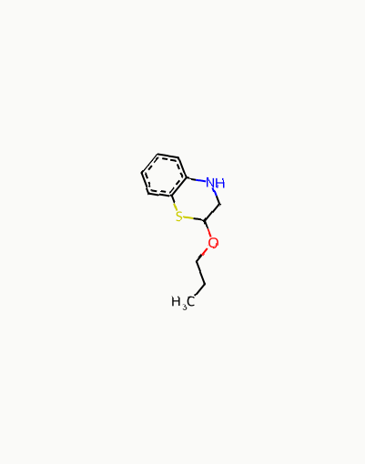 CCCOC1CNc2ccccc2S1